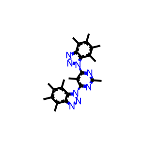 Cc1nc(-n2nnc3c(C)c(C)c(C)c(C)c32)c(C)c(-n2nnc3c(C)c(C)c(C)c(C)c32)n1